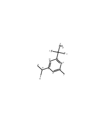 BC(F)(F)c1nc(C)cc(C(C)I)n1